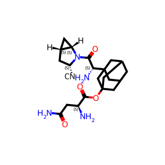 N#C[C@@H]1C[C@@H]2C[C@@H]2N1C(=O)[C@@H](N)C12CC3CC(CC(OC(=O)[C@@H](N)CC(N)=O)(C3)C1)C2